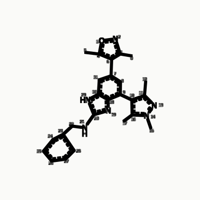 Cc1noc(C)c1-c1cc(-c2c(C)nn(C)c2C)c2nc(NCc3ccccc3)[nH]c2c1